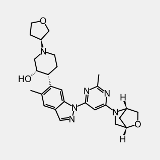 Cc1nc(N2C[C@@H]3C[C@H]2CO3)cc(-n2ncc3cc(C)c([C@H]4CCN([C@H]5CCOC5)C[C@H]4O)cc32)n1